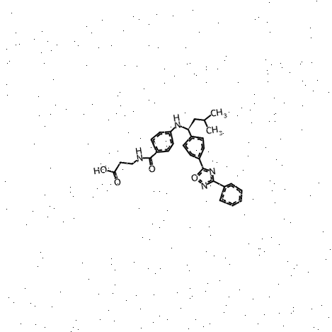 CC(C)C[C@H](Nc1ccc(C(=O)NCCC(=O)O)cc1)c1ccc(-c2nc(-c3ccccc3)no2)cc1